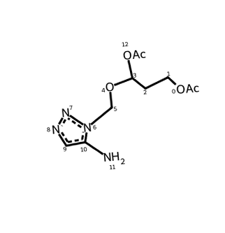 CC(=O)OCCC(OCn1nncc1N)OC(C)=O